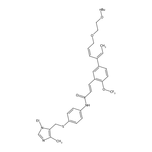 C/C=C(\C=C/COCCOCCCC)c1ccc(OC(F)(F)F)c(/C=C/C(=O)Nc2ccc(SCc3c(C)ncn3CC)cc2)c1